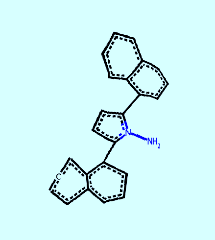 Nn1c(-c2cccc3ccccc23)ccc1-c1cccc2ccccc12